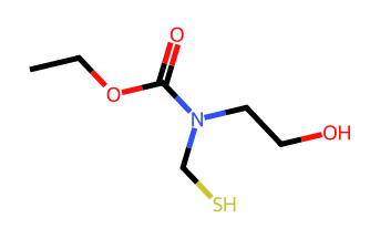 CCOC(=O)N(CS)CCO